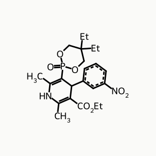 CCOC(=O)C1=C(C)NC(C)=C(P2(=O)OCC(CC)(CC)CO2)C1c1cccc([N+](=O)[O-])c1